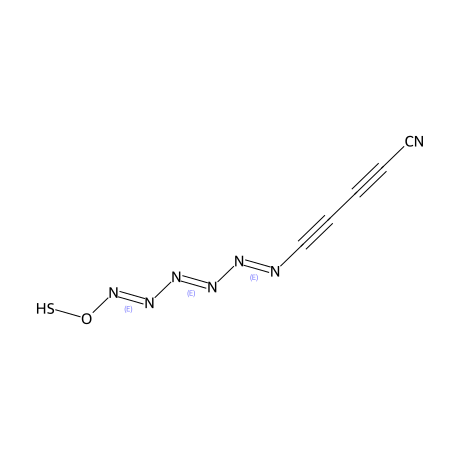 N#CC#CC#C/N=N/N=N/N=N/OS